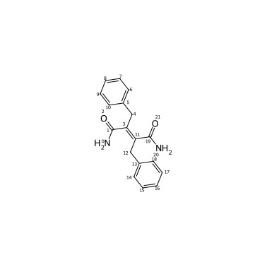 NC(=O)C(Cc1ccccc1)=C(Cc1ccccc1)C(N)=O